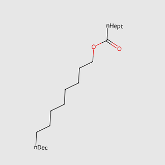 CCCCCCCCCCCCCCCCCCOC(=O)CCCCCCC